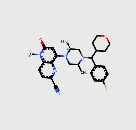 CC1CN(c2cc(=O)n(C)c3ccc(C#N)nc23)[C@@H](C)CN1C(c1ccc(F)cc1)C1CCOCC1